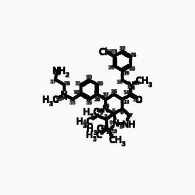 CCC(CC)C12C(CNN1C(C)C)C(C(=O)N(C)Cc1cccc(Cl)c1)CC(c1cccc(CN(C)CCN)c1)N2C